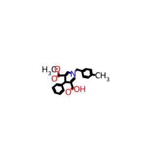 COC(=O)C1=CN(Cc2ccc(C)cc2)C=C(C(=O)O)C1c1ccccc1